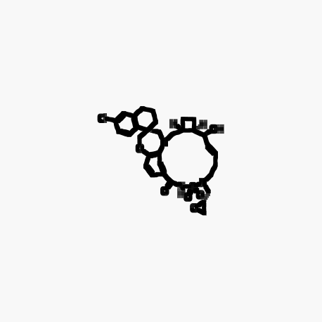 O=C1NS(=O)(=O)N(C[C@@H]2CO2)CC/C=C/[C@H](O)[C@@H]2CC[C@H]2CN2C[C@@]3(CCCc4cc(Cl)ccc43)COc3ccc1cc32